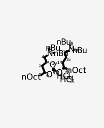 CCCCCCCCC(CCCN(CCCC)CCCC)OC(=O)OC(CCCCCCCC)CCCN(CCCC)CCCC.Cl.Cl